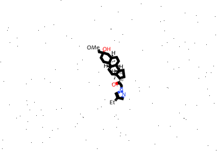 CCc1cnn(CC(=O)[C@H]2CC[C@H]3[C@@H]4CC[C@H]5C[C@@](O)(COC)CC[C@]5(C)[C@H]4CC[C@]23C)c1